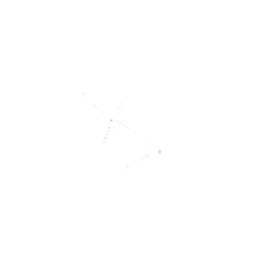 CO.C[Si](C)(Cl)Cl